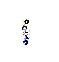 CC[C@H](NC(=O)c1nc2cnccc2nc1O)C(=O)N1CCC(Oc2ccc(F)cc2F)CC1